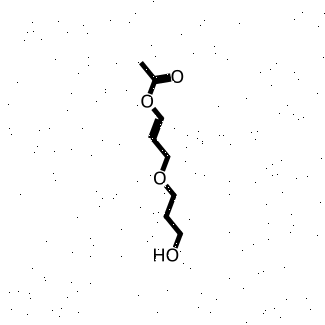 CC(=O)OC=CCOCCCO